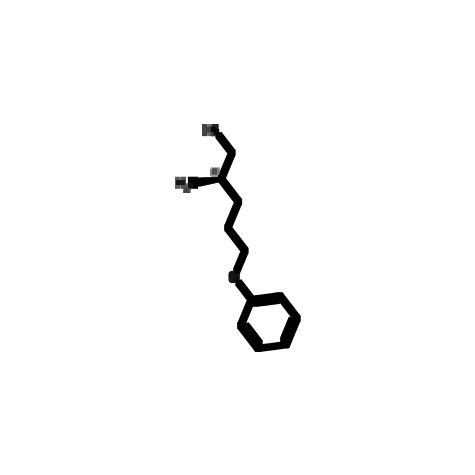 N[C@@H](CS)CCCOc1ccccc1